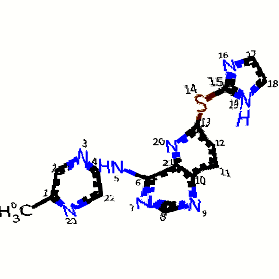 Cc1cnc(Nc2ncnc3ccc(Sc4ncc[nH]4)nc23)cn1